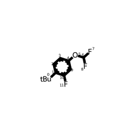 CC(C)(C)c1ccc(OC(F)F)cc1F